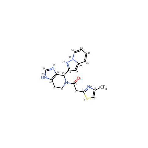 O=C(Cc1nc(C(F)(F)F)cs1)N1CCc2[nH]cnc2[C@H]1c1cc2ccccn2n1